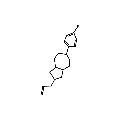 C=CCC1CC2CCC(c3ccc(F)cc3)CCC2C1